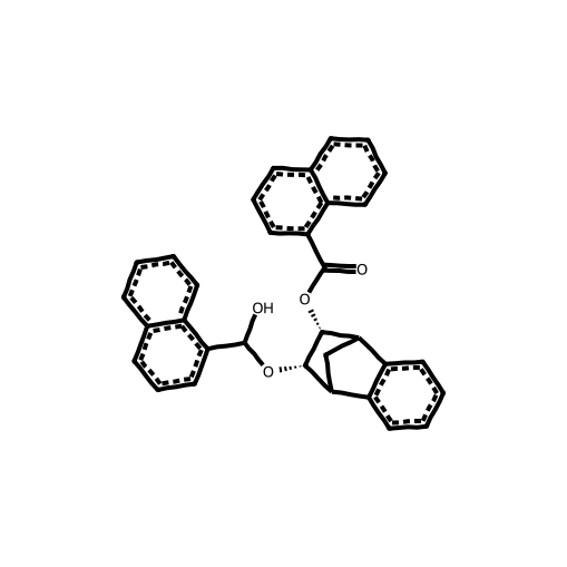 O=C(O[C@@H]1C2CC(c3ccccc32)[C@@H]1OC(O)c1cccc2ccccc12)c1cccc2ccccc12